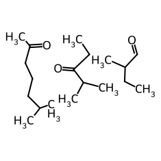 CC(=O)CCCC(C)C.CCC(=O)C(C)C.CCC(C)C=O